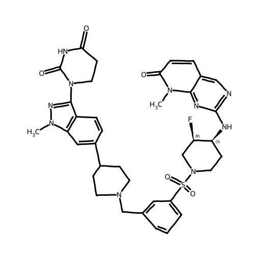 Cn1nc(N2CCC(=O)NC2=O)c2ccc(C3CCN(Cc4cccc(S(=O)(=O)N5CC[C@H](Nc6ncc7ccc(=O)n(C)c7n6)[C@H](F)C5)c4)CC3)cc21